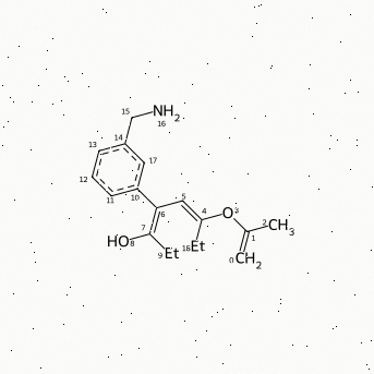 C=C(C)O/C(=C/C(=C(/O)CC)c1cccc(CN)c1)CC